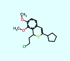 COc1ccc2c(c1OC)C(CCCl)SC(C1CCCC1)=C2